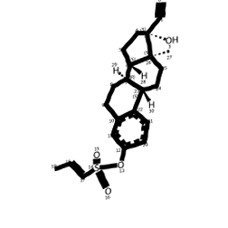 C#C[C@]1(O)CC[C@H]2[C@@H]3CCc4cc(OS(=O)(=O)C=CC)ccc4[C@H]3CC[C@@]21C